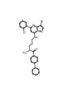 CN(CCCNc1cc(-c2ccccc2Cl)nc2c(Br)cnn12)C(=O)c1ccc(-c2ccccc2)cc1